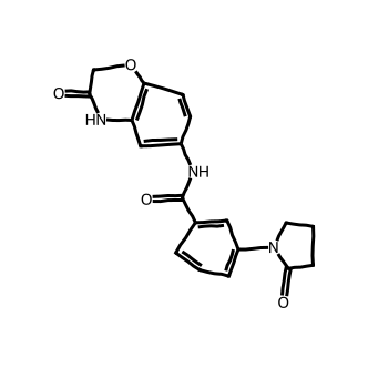 O=C1COc2ccc(NC(=O)c3cccc(N4CCCC4=O)c3)cc2N1